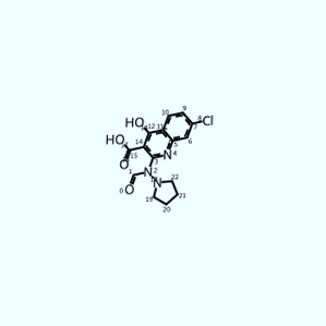 O=CN(c1nc2cc(Cl)ccc2c(O)c1C(=O)O)N1CCCC1